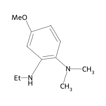 CCNc1cc(OC)ccc1N(C)C